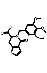 COc1cc(CN2C(=O)c3ccsc3CC2C(=O)O)cc(OC)c1OC